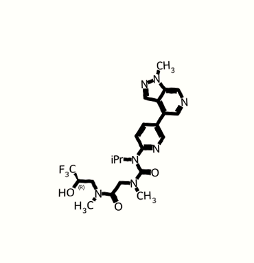 CC(C)N(C(=O)N(C)CC(=O)N(C)C[C@@H](O)C(F)(F)F)c1ccc(-c2cncc3c2cnn3C)cn1